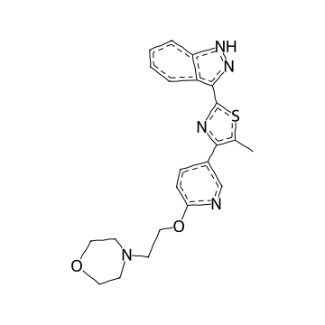 Cc1sc(-c2n[nH]c3ccccc23)nc1-c1ccc(OCCN2CCOCC2)nc1